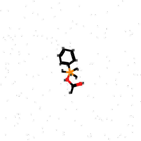 CC(=O)OP(C)(C)(C)c1ccccc1